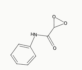 O=C(Nc1ccccc1)C1OO1